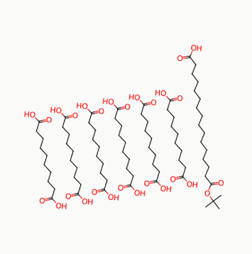 CC(C)(C)OC(=O)CCCCCCCCCCCCCCC(=O)O.O=C(O)CCCCCCCCC(=O)O.O=C(O)CCCCCCCCC(=O)O.O=C(O)CCCCCCCCC(=O)O.O=C(O)CCCCCCCCC(=O)O.O=C(O)CCCCCCCCC(=O)O.O=C(O)CCCCCCCCC(=O)O